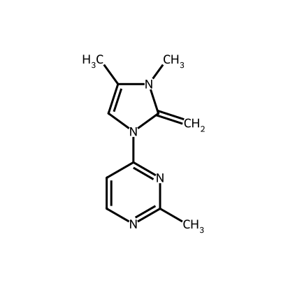 C=C1N(C)C(C)=CN1c1ccnc(C)n1